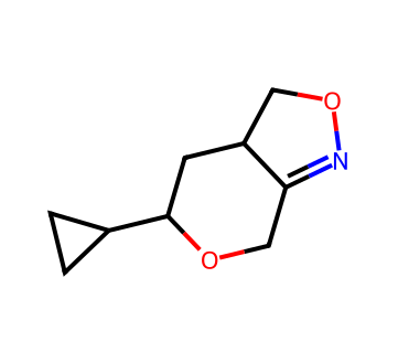 C1OC(C2CC2)CC2CON=C12